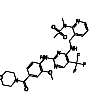 COc1cc(C(=O)N2CCOCC2)ccc1Nc1ncc(C(F)(F)F)c(NCc2cccnc2N(C)S(C)(=O)=O)n1